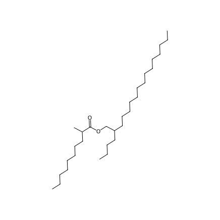 CCCCCCCCCCCCCCC(CCCC)COC(=O)C(C)CCCCCCCC